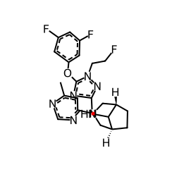 Cc1cc(N2C[C@@H]3CC[C@@H](C2)C3Nc2nc(Oc3cc(F)cc(F)c3)n(CCF)n2)ncn1